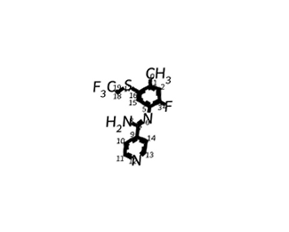 Cc1cc(F)c(/N=C(\N)c2ccncc2)cc1SCC(F)(F)F